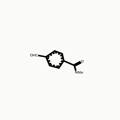 CNC(=O)c1ccc(C=O)cc1